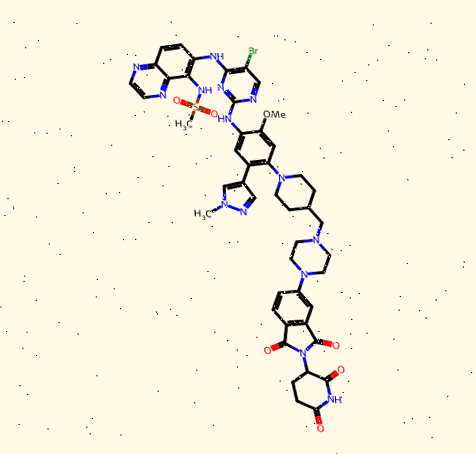 COc1cc(N2CCC(CN3CCN(c4ccc5c(c4)C(=O)N(C4CCC(=O)NC4=O)C5=O)CC3)CC2)c(-c2cnn(C)c2)cc1Nc1ncc(Br)c(Nc2ccc3nccnc3c2NS(C)(=O)=O)n1